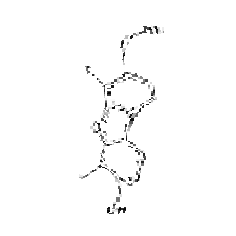 CCCCOc1ccc2c(oc3c(F)c(O)ccc32)c1F